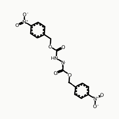 O=C([N]NC(=O)OCc1ccc([N+](=O)[O-])cc1)OCc1ccc([N+](=O)[O-])cc1